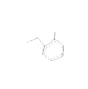 Fc1ccccc1CI